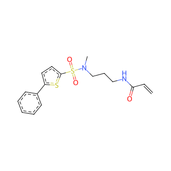 C=CC(=O)NCCCN(C)S(=O)(=O)c1ccc(-c2ccccc2)s1